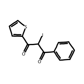 O=C(c1ccccc1)C(I)C(=O)c1cccs1